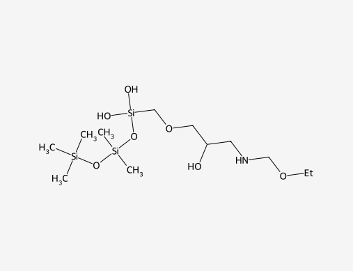 CCOCNCC(O)COC[Si](O)(O)O[Si](C)(C)O[Si](C)(C)C